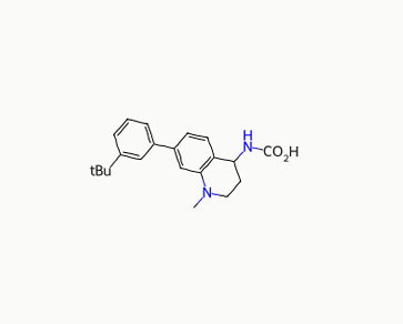 CN1CCC(NC(=O)O)c2ccc(-c3cccc(C(C)(C)C)c3)cc21